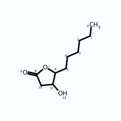 CCCCCCC1OC(=O)CC1O